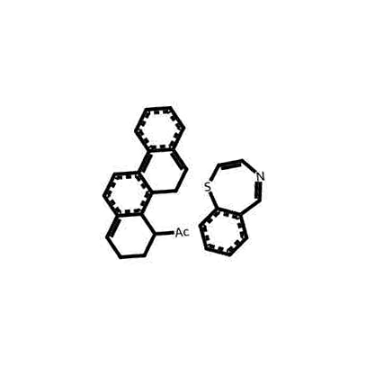 C1=CSc2ccccc2C=N1.CC(=O)C1CCC=c2ccc3c(c21)CC=c1ccccc1=3